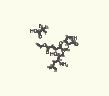 CCOC(=O)/C=C/C(=O)N(C[C@@H]1CCNC1=O)C[C@@H](O)[C@@H](N)CC(C)C.O=C(O)C(F)(F)F